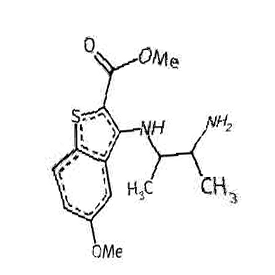 COC(=O)c1sc2ccc(OC)cc2c1NC(C)C(C)N